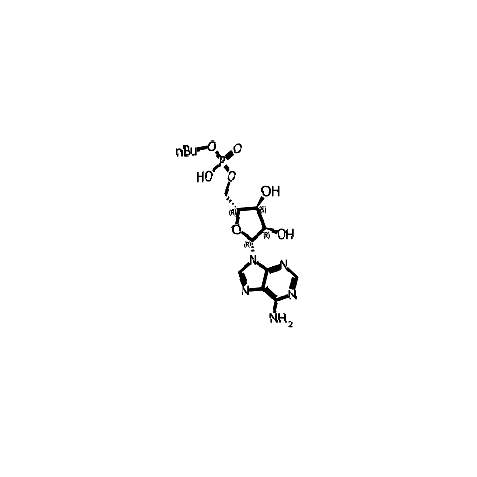 CCCCOP(=O)(O)OC[C@H]1O[C@@H](n2cnc3c(N)ncnc32)[C@H](O)[C@@H]1O